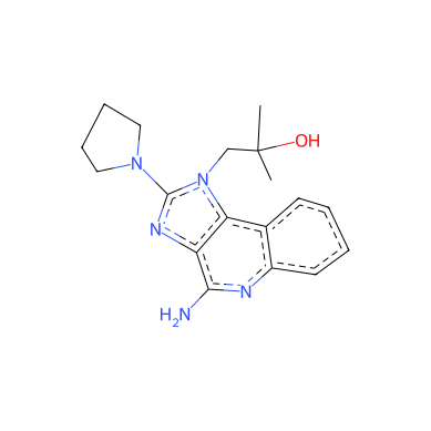 CC(C)(O)Cn1c(N2CCCC2)nc2c(N)nc3ccccc3c21